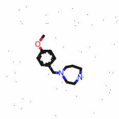 COc1ccc(CN2CCC[N]CC2)cc1